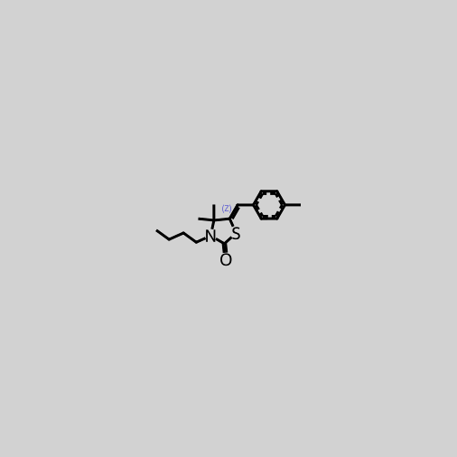 CCCCN1C(=O)S/C(=C\c2ccc(C)cc2)C1(C)C